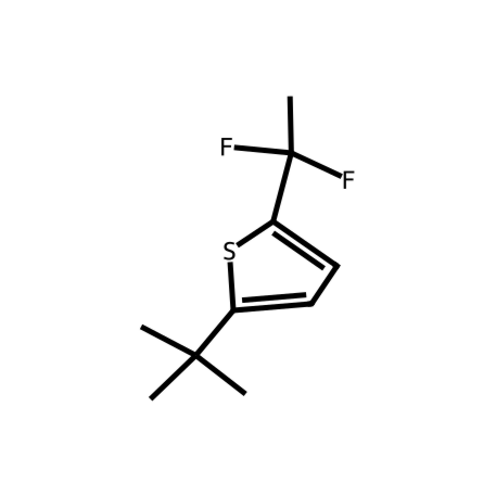 CC(C)(C)c1ccc(C(C)(F)F)s1